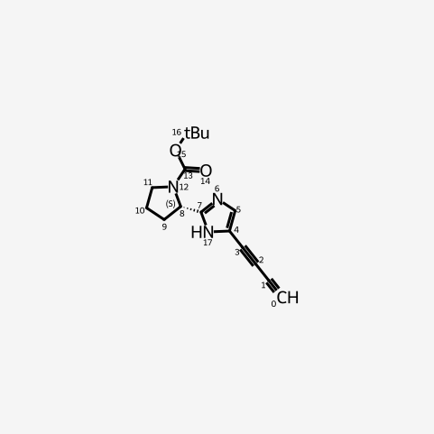 C#CC#Cc1cnc([C@@H]2CCCN2C(=O)OC(C)(C)C)[nH]1